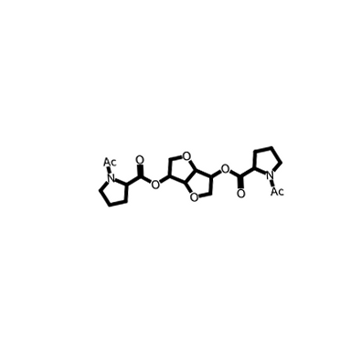 CC(=O)N1CCCC1C(=O)OC1COC2C(OC(=O)C3CCCN3C(C)=O)COC12